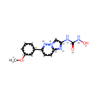 COc1cccc(-c2ccc3nc(NC(=O)NO)cn3n2)c1